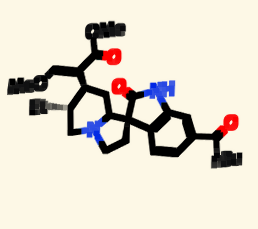 CCCCC(=O)c1ccc2c(c1)NC(=O)[C@]21CCN2C[C@H](CC)[C@@H](/C(=C\OC)C(=O)OC)CC21